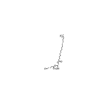 CCCCCCCCCCCCCCCC(=O)OC[C@H](CO)OC(=O)CCCC=O